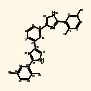 Cc1ccc(C)c(-c2nc(-c3cccc(-c4c[nH]c(-c5cc(C)ccc5C)n4)c3)c[nH]2)c1